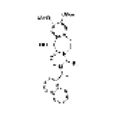 CCC(N1CCc2cc(OC)c(OC)cc2C(O)C1=O)N(C)C(C)c1cccc2ccccc12